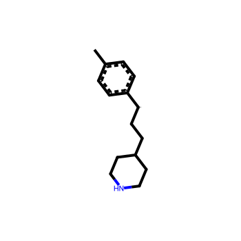 Cc1ccc([CH]CCC2CCNCC2)cc1